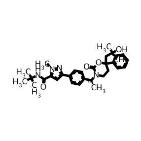 C[C@@H](c1ccc(-c2cc(C(=O)NC(C)(C)C)n(C)n2)cc1)N1CCC(CC(C)(C)O)(c2ccccc2)OC1=O